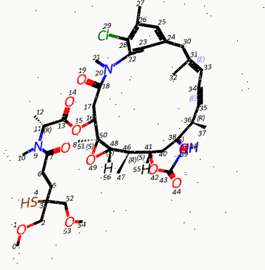 COCC(S)(CCC(=O)N(C)[C@H](C)C(=O)OC1CC(=O)N(C)c2cc(cc(C)c2Cl)C/C(C)=C/C=C/[C@@H](C)[C@@]2(O)C[C@H](OC(=O)N2)[C@@H](C)[C@@H]2O[C@@]12C)COC